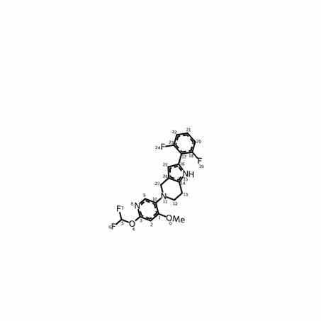 COc1cc(OC(F)F)ncc1N1CCc2[nH]c(-c3c(F)cccc3F)cc2C1